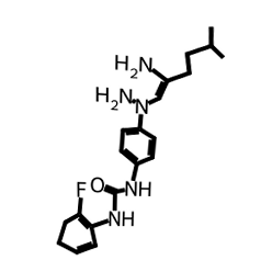 CC(C)CC/C(N)=C/N(N)c1ccc(NC(=O)NC2=C(F)CCC=C2)cc1